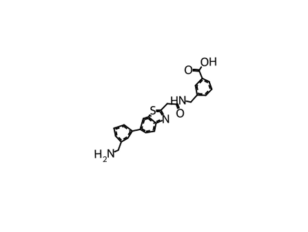 NCc1cccc(-c2ccc3nc(CC(=O)NCc4cccc(C(=O)O)c4)sc3c2)c1